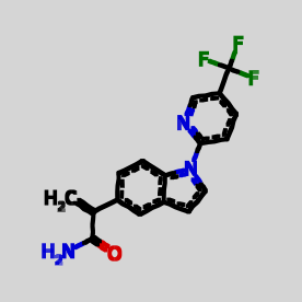 C=C(C(N)=O)c1ccc2c(ccn2-c2ccc(C(F)(F)F)cn2)c1